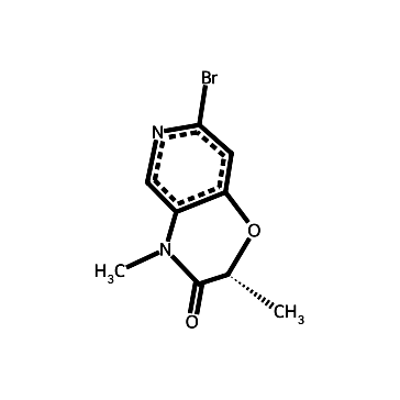 C[C@H]1Oc2cc(Br)ncc2N(C)C1=O